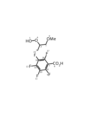 COCC(C)OO.O=C(O)c1c(F)c(F)c(F)c(F)c1F